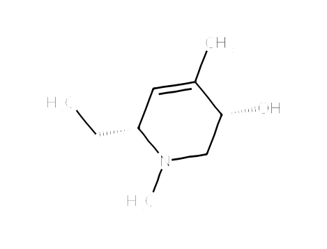 CC[C@@H]1C=C(C)[C@H](O)CN1C